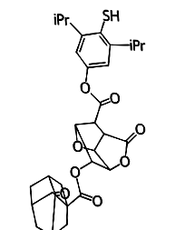 CC(C)c1cc(OC(=O)C2C3OC4C(OC(=O)C42)C3OC(=O)C23CC4CC(C2)C(=O)C(C4)C3)cc(C(C)C)c1S